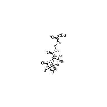 CC(C)(C)C(=O)OCOC(=O)[C@@H]1N2C(=O)C(Cl)(I)[C@H]2SC1(C)C